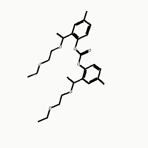 CCOCCOC(C)c1cc(C)ccc1OC(=O)Oc1ccc(C)cc1C(C)OCCOCC